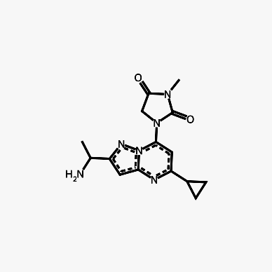 CC(N)c1cc2nc(C3CC3)cc(N3CC(=O)N(C)C3=O)n2n1